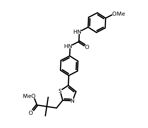 COC(=O)C(C)(C)Cc1ncc(-c2ccc(NC(=O)Nc3ccc(OC)cc3)cc2)s1